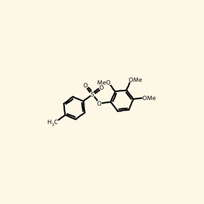 COc1ccc(OS(=O)(=O)c2ccc(C)cc2)c(OC)c1OC